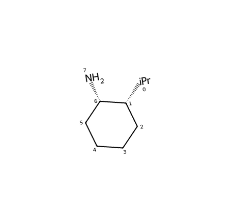 CC(C)[C@@H]1CCCC[C@@H]1N